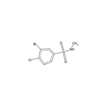 CNS(=O)(=O)c1ccc(Cl)c(Br)c1